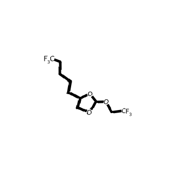 FC(F)(F)CCCCC1COC(OCC(F)(F)F)O1